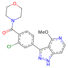 COc1nccc2[nH]nc(-c3ccc(C(=O)N4CCOCC4)c(Cl)c3)c12